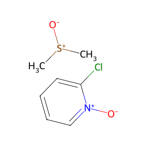 C[S+](C)[O-].[O-][n+]1ccccc1Cl